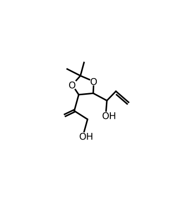 C=CC(O)C1OC(C)(C)OC1C(=C)CO